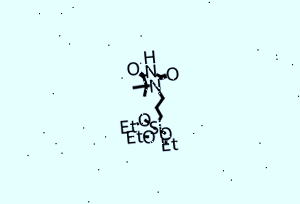 CCO[Si](CCCN1C(=O)NC(=O)C1(C)C)(OCC)OCC